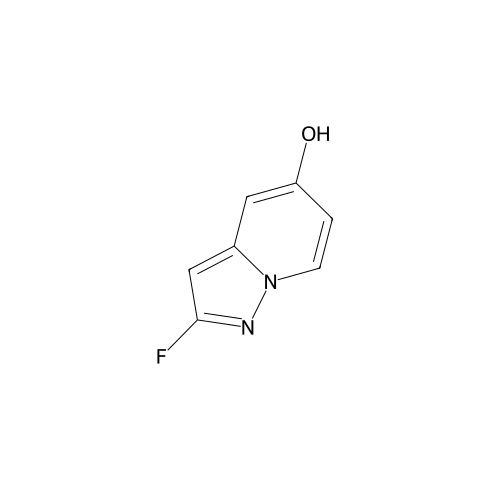 Oc1ccn2nc(F)cc2c1